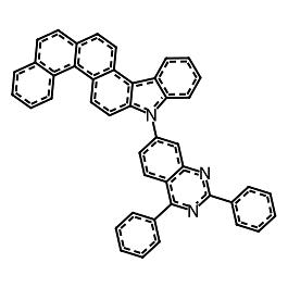 c1ccc(-c2nc(-c3ccccc3)c3ccc(-n4c5ccccc5c5c6ccc7ccc8ccccc8c7c6ccc54)cc3n2)cc1